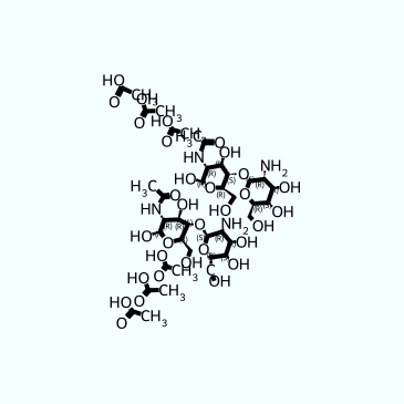 CC(=O)N[C@@H]1[C@@H](O)[C@H](O[C@@H]2O[C@H](CO)[C@@H](O)[C@H](O)[C@H]2N)[C@@H](CO)O[C@H]1O.CC(=O)N[C@@H]1[C@@H](O)[C@H](O[C@@H]2O[C@H](CO)[C@@H](O)[C@H](O)[C@H]2N)[C@@H](CO)O[C@H]1O.CC(=O)O.CC(=O)O.CC(=O)O.CC(=O)O.CC(=O)O.CC(=O)O